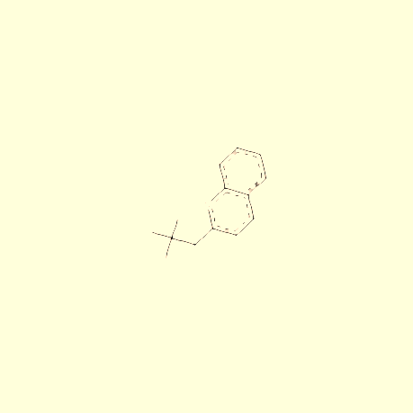 FC(F)(F)Cc1ccc2ccccc2n1